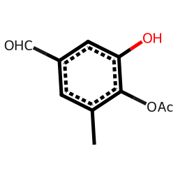 CC(=O)Oc1c(C)cc(C=O)cc1O